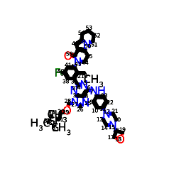 CCc1c(-c2nc(Nc3ccc(N4CCN(C5COC5)CC4)cc3)c3ncn(COCC[Si](C)(C)C)c3n2)cc(F)cc1N1CCc2c(cc3n2CCCC3)C1=O